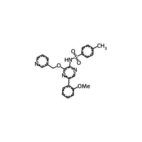 COc1ccccc1-c1cnc(NS(=O)(=O)c2ccc(C)cc2)c(OCc2cccnc2)n1